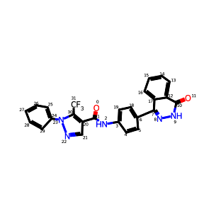 O=C(Nc1ccc(-c2n[nH]c(=O)c3ccccc23)cc1)c1cnn(-c2ccccc2)c1C(F)(F)F